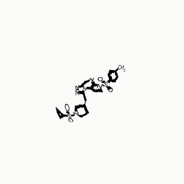 Cc1ccc(S(=O)(=O)n2ccc3c2ncc2nnc(C[C@@H]4CCN(S(=O)(=O)C5CC5)C4)n23)cc1